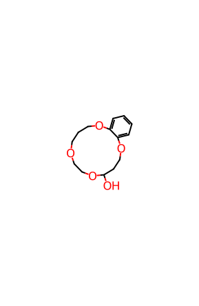 OC1CCOc2ccccc2OCCCOCCO1